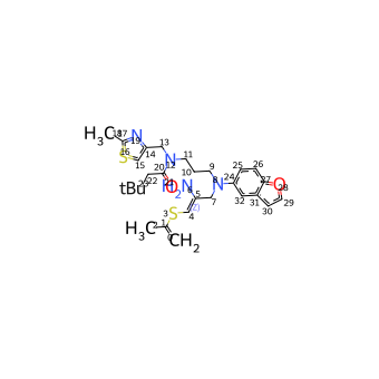 C=C(C)S/C=C(\N)CN(CCCN(Cc1csc(C)n1)C(=O)CC(C)(C)C)c1ccc2occc2c1